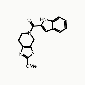 COc1nc2c(s1)CN(C(=O)c1cc3ccccc3[nH]1)CC2